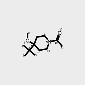 COC1(C(C)(C)C)CCN(C(C)=O)CC1